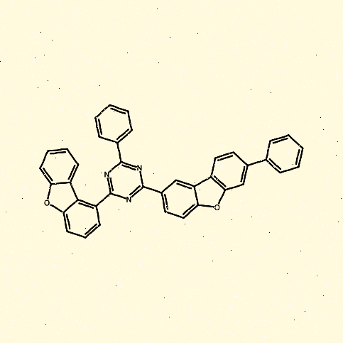 c1ccc(-c2ccc3c(c2)oc2ccc(-c4nc(-c5ccccc5)nc(-c5cccc6oc7ccccc7c56)n4)cc23)cc1